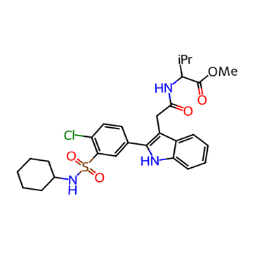 COC(=O)C(NC(=O)Cc1c(-c2ccc(Cl)c(S(=O)(=O)NC3CCCCC3)c2)[nH]c2ccccc12)C(C)C